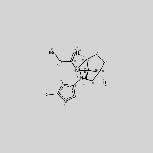 Cc1ncc(N2C[C@H]3CC[C@@H](C2)[C@@H]3NC(=O)OC(C)(C)C)s1